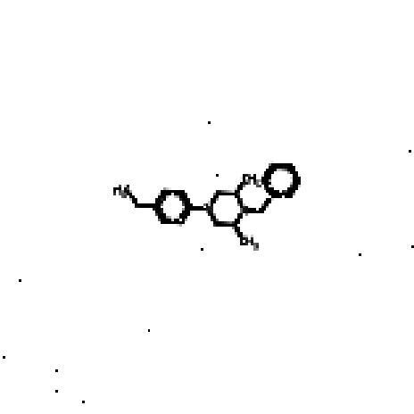 CCc1ccc(N2CC(C)N(Cc3ccccc3)C(C)C2)cc1